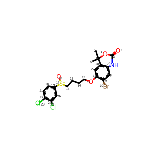 CC1(C)OC(=O)Nc2cc(Br)c(OCCCC[S+]([O-])c3ccc(Cl)c(Cl)c3)cc21